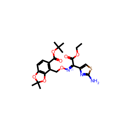 CCOC(=O)/C(=N\OCc1c(C(=O)OC(C)(C)C)ccc2c1OC(C)(C)O2)c1csc(N)n1